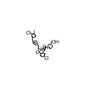 O=C(NCCN1CCN(Cc2ccc(I)c(Cl)c2)CC1)c1ccc(Cl)cc1OCC(=O)N1CCCC(CO)C1